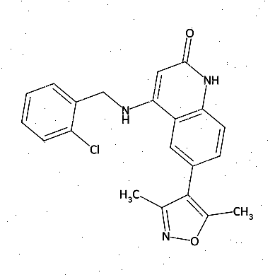 Cc1noc(C)c1-c1ccc2[nH]c(=O)cc(NCc3ccccc3Cl)c2c1